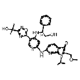 COCn1c(=O)c2ccc(Nc3cc(N[C@H](CO)c4ccccc4)c(-c4nc(C(C)(C)O)no4)cn3)nc2n1C(C)C